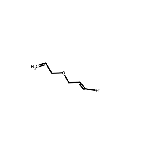 C=CCOCC=CCC